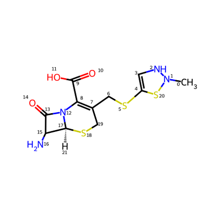 CN1NC=C(SCC2=C(C(=O)O)N3C(=O)C(N)[C@@H]3SC2)S1